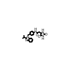 CC(C)c1nc2ccccc2n1Cc1ccc(NC(=O)CC2NC(=O)NC2=O)cc1